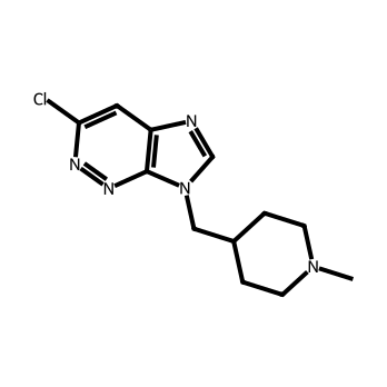 CN1CCC(Cn2cnc3cc(Cl)nnc32)CC1